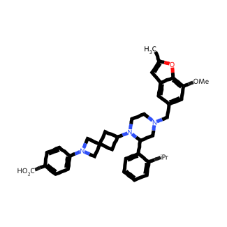 COc1cc(CN2CCN(C3CC4(C3)CN(c3ccc(C(=O)O)cc3)C4)C(c3ccccc3C(C)C)C2)cc2cc(C)oc12